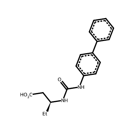 CC[C@@H](CC(=O)O)NC(=O)Nc1ccc(-c2ccccc2)cc1